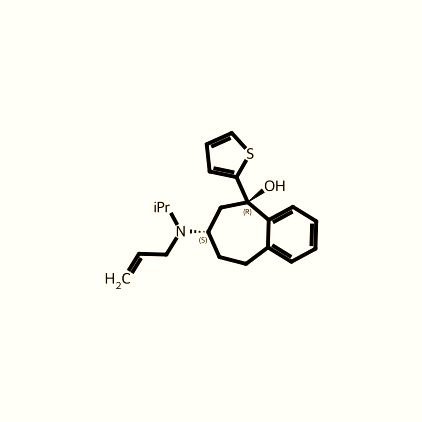 C=CCN(C(C)C)[C@H]1CCc2ccccc2[C@@](O)(c2cccs2)C1